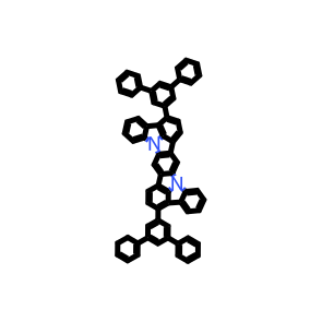 C1=CCCC(c2cc(-c3ccccc3)cc(-c3ccc4c5cc6c(cc5n5c7ccccc7c3c45)c3ccc(-c4cc(-c5ccccc5)cc(-c5ccccc5)c4)c4c5ccccc5n6c34)c2)=C1